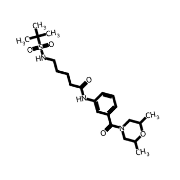 CC1CN(C(=O)c2cccc(NC(=O)CCCCNS(=O)(=O)C(C)(C)C)c2)CC(C)O1